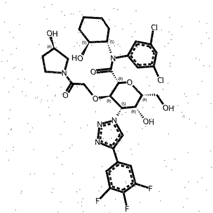 O=C(CO[C@@H]1[C@@H](n2cc(-c3cc(F)c(F)c(F)c3)nn2)[C@@H](O)[C@@H](CO)O[C@H]1C(=O)N(c1cc(Cl)cc(Cl)c1)[C@H]1CCCC[C@@H]1O)N1CC[C@@H](O)C1